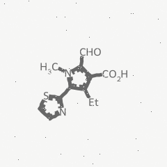 CCc1c(C(=O)O)c(C=O)n(C)c1-c1nccs1